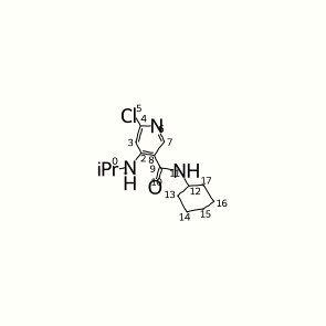 CC(C)Nc1cc(Cl)ncc1C(=O)NC1CCCCC1